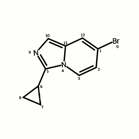 Brc1ccn2c(C3CC3)ncc2c1